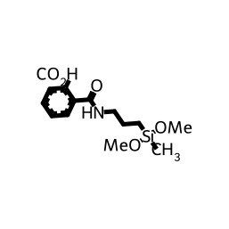 CO[Si](C)(CCCNC(=O)c1ccccc1C(=O)O)OC